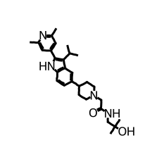 Cc1cc(-c2[nH]c3ccc(C4CCN(CC(=O)NCC(C)(C)O)CC4)cc3c2C(C)C)cc(C)n1